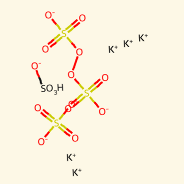 O=S(=O)([O-])O.O=S(=O)([O-])OOS(=O)(=O)[O-].O=S(=O)([O-])[O-].[K+].[K+].[K+].[K+].[K+]